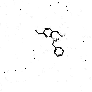 CCc1ccc(C=N)c(NCc2ccccc2)c1